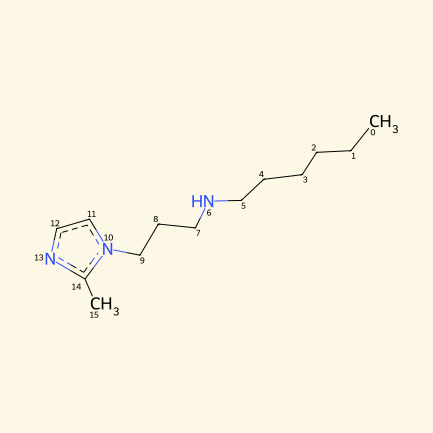 CCCCCCNCCCn1ccnc1C